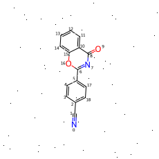 N#Cc1ccc(-c2nc(=O)c3ccccc3o2)cc1